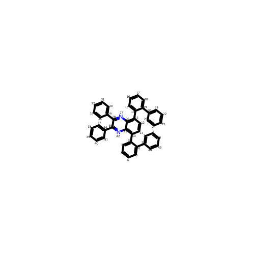 c1ccc(-c2ccccc2-c2ccc(-c3ccccc3-c3ccccc3)c3nc(-c4ccccc4)c(-c4ccccc4)nc23)cc1